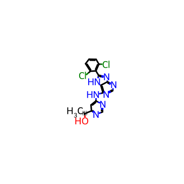 C[C@H](O)c1cc(Nc2ncnc3nc(-c4c(Cl)cccc4Cl)[nH]c23)ncn1